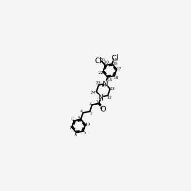 O=C(CC[CH]c1ccccc1)N1CCN(c2ccc(Cl)c(Cl)c2)CC1